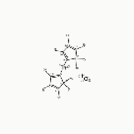 CC1=C(C)C(C)(C)[C]([Th+2][C]2=C(C)C(C)=C(C)C2(C)C)=C1C.[Cl-].[Cl-]